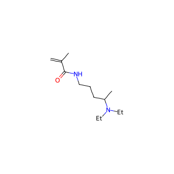 C=C(C)C(=O)NCCCC(C)N(CC)CC